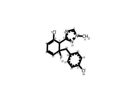 Cn1cnc(C2C(Cl)=CC=CC2(F)Cc2ccc(Cl)cc2)n1